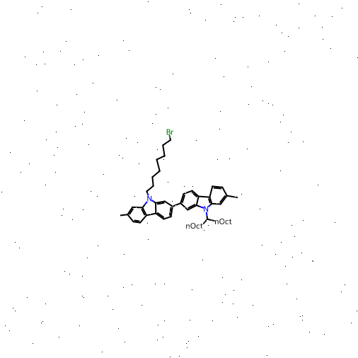 CCCCCCCCC(CCCCCCCC)n1c2cc(C)ccc2c2ccc(-c3ccc4c5ccc(C)cc5n(CCCCCCCCBr)c4c3)cc21